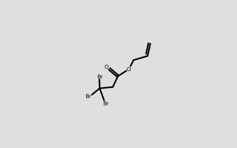 C=CCOC(=O)CC(Br)(Br)Br